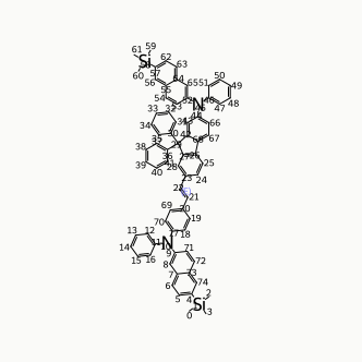 C[Si](C)(C)c1ccc2cc(N(c3ccccc3)c3ccc(/C=C/c4ccc5c(c4)C(c4ccccc4)(c4ccccc4)c4cc(N(c6ccccc6)c6ccc7cc([Si](C)(C)C)ccc7c6)ccc4-5)cc3)ccc2c1